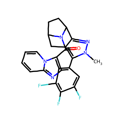 Cn1nc2c(c1-c1cc(F)c(F)c(F)c1)CC1CCC2N1C(=O)c1cnc2ccccn12